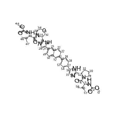 COC(=O)N[C@H](C(=O)N1CCC[C@H]1c1ncc(-c2ccc(-c3ccc4cc(-c5cnc([C@@H]6COCCN6C(=O)[C@@H](NC(=O)OC)C(C)C)[nH]5)ccc4c3)cc2)[nH]1)C(C)C